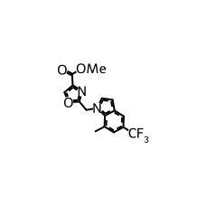 COC(=O)c1coc(Cn2ccc3cc(C(F)(F)F)cc(C)c32)n1